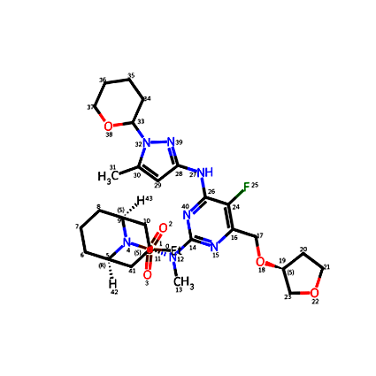 CCS(=O)(=O)N1[C@@H]2CCC[C@H]1C[C@H](N(C)c1nc(CO[C@H]3CCOC3)c(F)c(Nc3cc(C)n(C4CCCCO4)n3)n1)C2